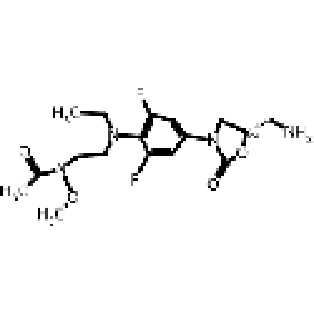 CCN(CCN(OC)C(C)=O)c1c(F)cc(N2C[C@H](CN)OC2=O)cc1F